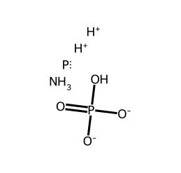 N.O=P([O-])([O-])O.[H+].[H+].[P]